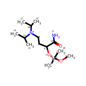 CO[Si](C)(C)OC(CCN(C(C)C)C(C)C)C(N)=O